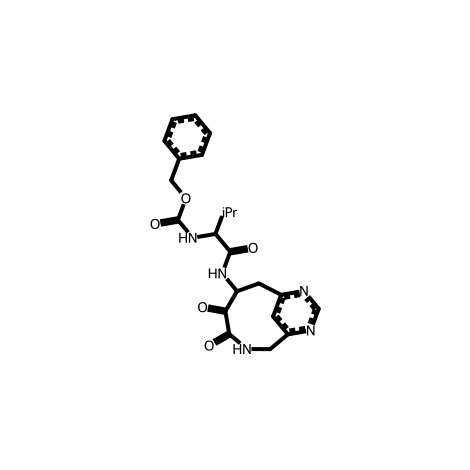 CC(C)C(NC(=O)OCc1ccccc1)C(=O)NC1Cc2cc(ncn2)CNC(=O)C1=O